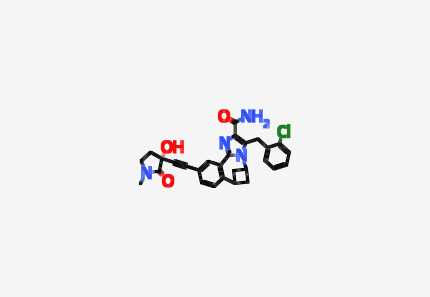 CN1CC[C@@](O)(C#Cc2ccc3c(c2)-c2nc(C(N)=O)c(Cc4ccccc4Cl)n2C2CC3C2)C1=O